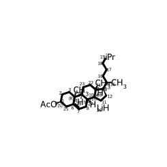 CC(=O)O[C@H]1CC[C@@]2(C)C(=CC[C@H]3[C@@H]4CC[C@H]([C@H](C)CCCC(C)C)[C@@]4(C)CC[C@@H]32)C1.[LiH]